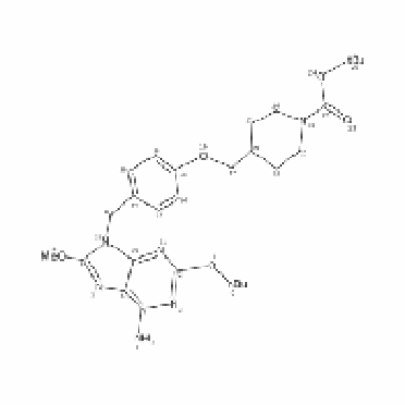 CCCCOc1nc(N)c2nc(OC)n(Cc3ccc(OCC4CCN(C(=O)OC(C)(C)C)CC4)cc3)c2n1